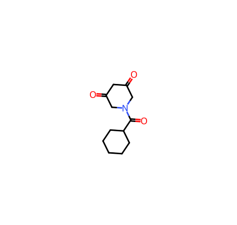 O=C1CC(=O)CN(C(=O)C2CCCCC2)C1